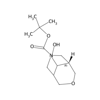 CC(C)(C)OC(=O)N1CC2COC[C@@H](C1)C2CO